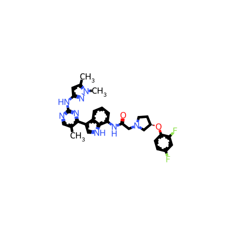 Cc1cnc(Nc2cc(C)n(C)n2)nc1-c1c[nH]c2c(NC(=O)CN3CC[C@H](Oc4ccc(F)cc4F)C3)cccc12